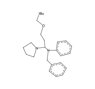 CC(C)(C)COCCC(N1CCCC1)N(Cc1ccccc1)c1ccccc1